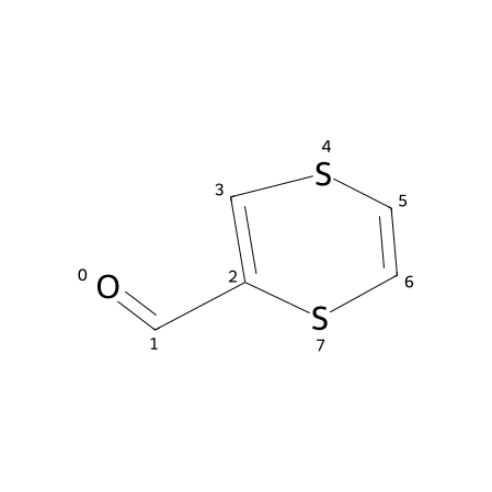 O=CC1=CSC=CS1